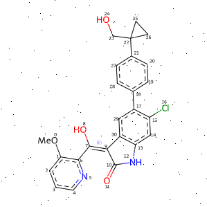 COc1cccnc1/C(O)=C1\C(=O)Nc2cc(Cl)c(-c3ccc(C4(CO)CC4)cc3)cc21